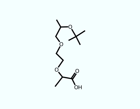 CC(COCCOC(C)C(=O)O)OC(C)(C)C